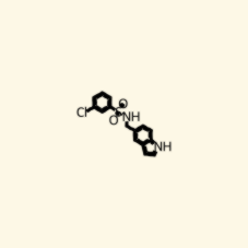 O=S(=O)(NCc1ccc2[nH]ccc2c1)c1cccc(Cl)c1